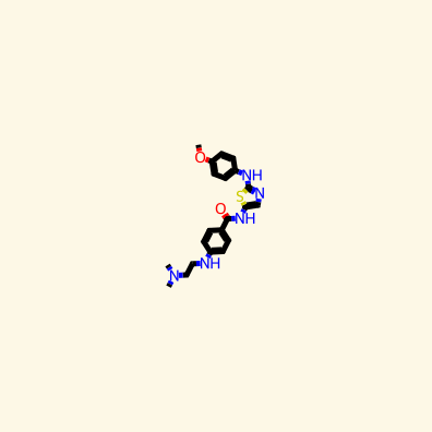 COc1ccc(Nc2ncc(NC(=O)c3ccc(NCCN(C)C)cc3)s2)cc1